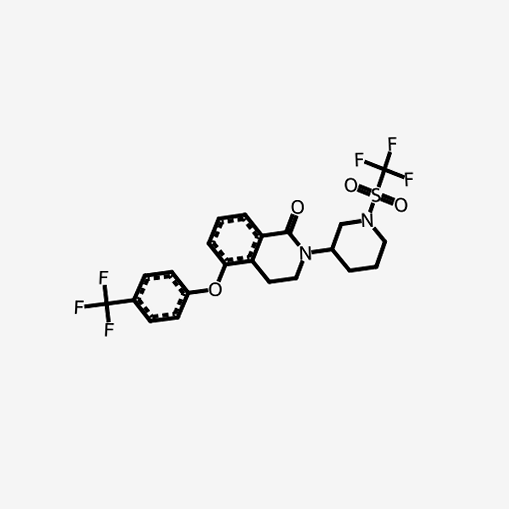 O=C1c2cccc(Oc3ccc(C(F)(F)F)cc3)c2CCN1C1CCCN(S(=O)(=O)C(F)(F)F)C1